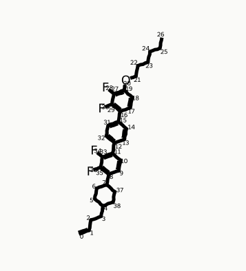 C=CCCC1CCC(c2ccc(-c3ccc(-c4ccc(OCCCCCC)c(F)c4F)cc3)c(F)c2F)CC1